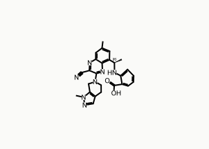 Cc1cc([C@@H](C)Nc2ccccc2C(=O)O)c2nc(N3CCc4cnn(C)c4C3)c(C#N)nc2c1